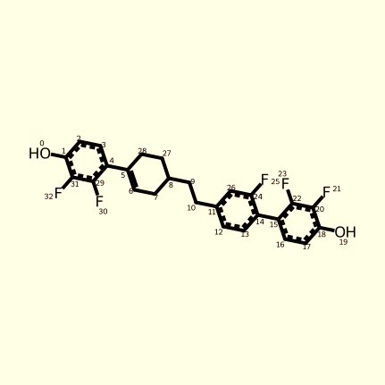 Oc1ccc(C2=CCC(CCc3ccc(-c4ccc(O)c(F)c4F)c(F)c3)CC2)c(F)c1F